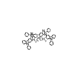 CC1(C)c2cc3c(cc2C2C=c4nc(-c5ccccc5)n(-c5ccc6c(c5)c5ccccc5n6-c5ccccc5)c4=CC21)nc(C1=CCCC=C1)n3-c1ccc2c(c1)c1ccccc1n2-c1ccccc1